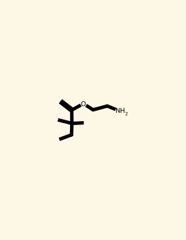 C=C(OCCN)C(C)(C)CC